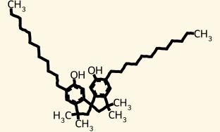 CCCCCCCCCCCCc1cc2c(cc1O)C1(CC2(C)C)CC(C)(C)c2cc(CCCCCCCCCCCC)c(O)cc21